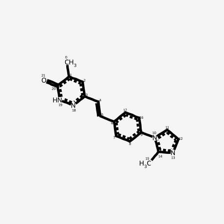 Cc1cc(C=Cc2ccc(-n3ccnc3C)cc2)n[nH]c1=O